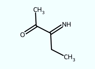 CCC(=N)C(C)=O